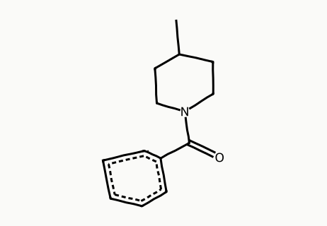 CC1CCN(C(=O)c2[c]cccc2)CC1